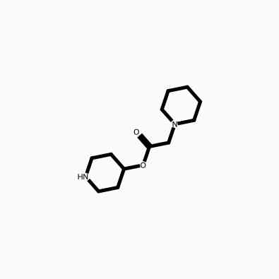 O=C(CN1CCCCC1)OC1CCNCC1